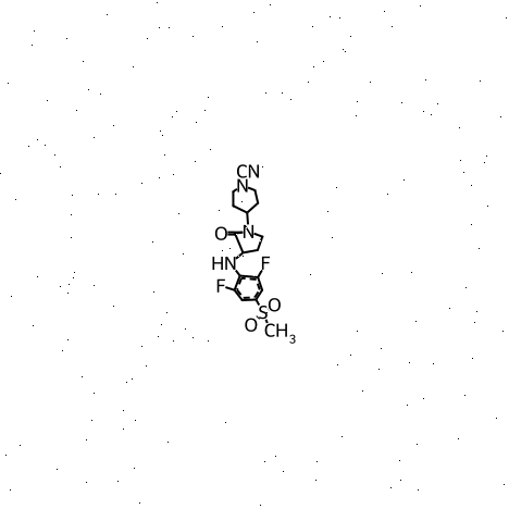 CS(=O)(=O)c1cc(F)c(NC2CCN(C3CCN(C#N)CC3)C2=O)c(F)c1